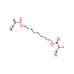 C=C(C#N)C(=O)OCCCCCCCCCOC(=O)C(=C)C#N